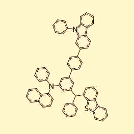 c1ccc(C(c2cc(-c3ccc(-c4ccc5c6ccccc6n(-c6ccccc6)c5c4)cc3)cc(N(c3ccccc3)c3cccc4ccccc34)c2)c2cccc3c2sc2ccccc23)cc1